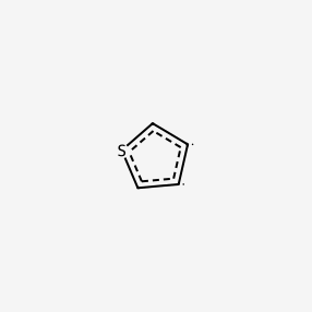 [c]1[c]csc1